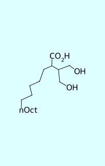 CCCCCCCCCCCCCC(C(=O)O)C(CO)CO